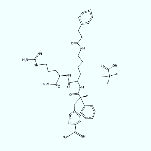 C[C@@](Cc1ccc(C(=N)N)cc1)(C(=O)NC(CCCCNC(=O)OCc1ccccc1)C(=O)NC(CCCNC(=N)N)C(N)=O)c1ccccc1.O=C(O)C(F)(F)F